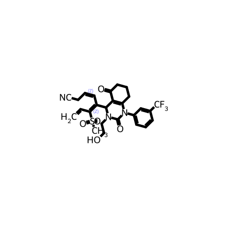 C=C/C(=C(\C=C/CC#N)C1C2=C(CCCC2=O)N(c2cccc(C(F)(F)F)c2)C(=O)N1CCO)S(C)(=O)=O